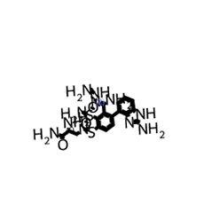 NN/N=C(\N)c1c(-c2cccc3[nH]c(N)nc23)ccc(SNC[C@H](N)C(N)=O)c1S(N)(=O)=O